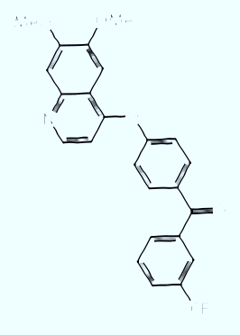 COc1cc2nccc(Oc3ccc(C(=O)c4cccc(C(F)(F)F)c4)cc3)c2cc1OC